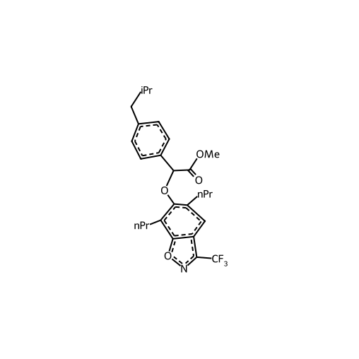 CCCc1cc2c(C(F)(F)F)noc2c(CCC)c1OC(C(=O)OC)c1ccc(CC(C)C)cc1